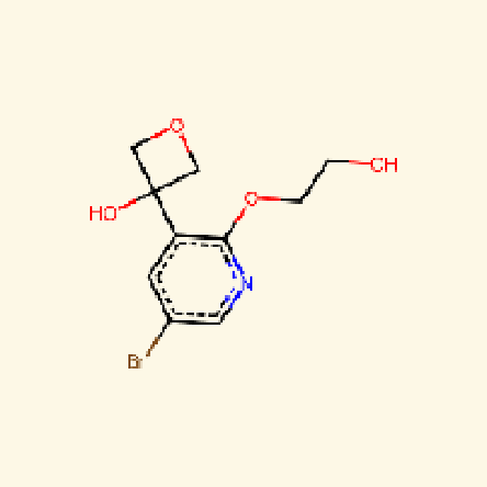 OCCOc1ncc(Br)cc1C1(O)COC1